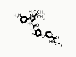 CNC(=O)c1cc(Oc2ccc(NC(=O)Nc3cc(C(C)(C)C)nn3-c3cccc(N)c3)c(F)c2)ccn1